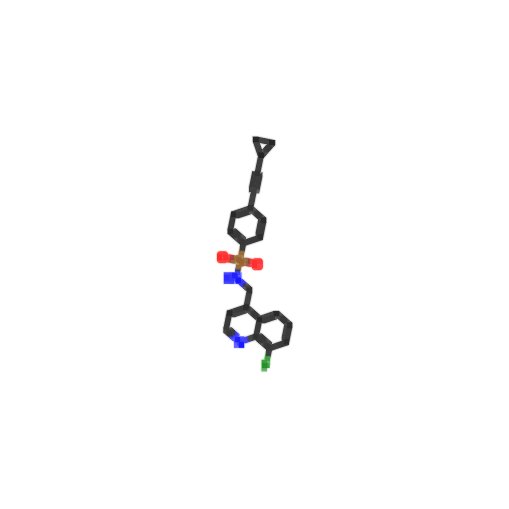 O=S(=O)(NCc1ccnc2c(F)cccc12)c1ccc(C#CC2CC2)cc1